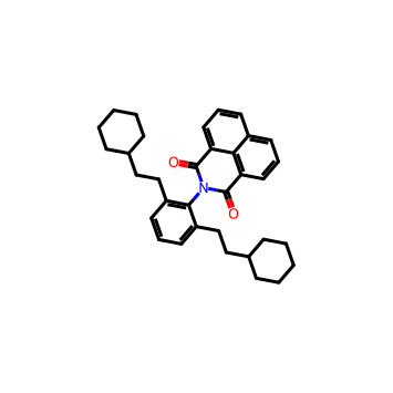 O=C1c2cccc3cccc(c23)C(=O)N1c1c(CCC2CCCCC2)cccc1CCC1CCCCC1